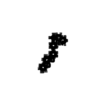 C1=CNC2CC3(C=CC2=C1)C=CC3c1ccc(-c2ccc3oc4c(ccc5c6ccccc6oc54)c3c2)cc1